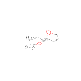 C=C[C@@H](OC(=O)OCC)[C@H]1C=CCO1